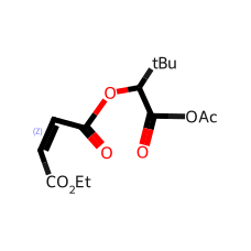 CCOC(=O)/C=C\C(=O)OC(C(=O)OC(C)=O)C(C)(C)C